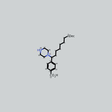 CCCCCCCCCCCCCCCCC(c1ccc(C(=O)O)cc1)N1CCNCC1